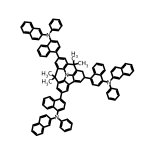 CC1(C)C2=c3c(c4cc(-c5ccc(N(c6ccccc6)c6ccc7ccccc7c6)c6ccccc56)cc5c4n3-c3c1cc(-c1ccc(N(c4ccccc4)c4ccc6ccccc6c4)c4ccccc14)cc3C5(C)C)=CC(c1ccc(N(c3ccccc3)c3ccc4ccccc4c3)c3ccccc13)C2